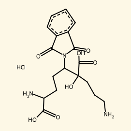 Cl.NCCCC(O)(C(=O)O)C(CCC(N)C(=O)O)N1C(=O)c2ccccc2C1=O